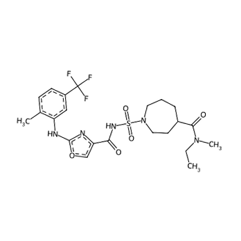 CCN(C)C(=O)C1CCCN(S(=O)(=O)NC(=O)c2coc(Nc3cc(C(F)(F)F)ccc3C)n2)CC1